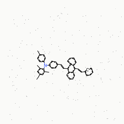 Cc1ccc(N(c2ccc(C=Cc3c4ccccc4c(C=Cc4ccccc4)c4ccccc34)cc2)c2c(C)cc(C)cc2C)cc1